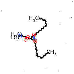 CCCCC/C=C\C/C=C\CCCCCCCCOc1cc(COC(=O)CCCN(C)C)cc(OCCCCCCCC/C=C\C/C=C\CCCCC)n1